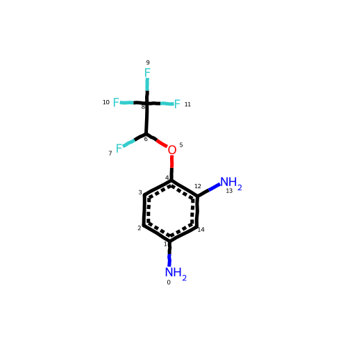 Nc1ccc(OC(F)C(F)(F)F)c(N)c1